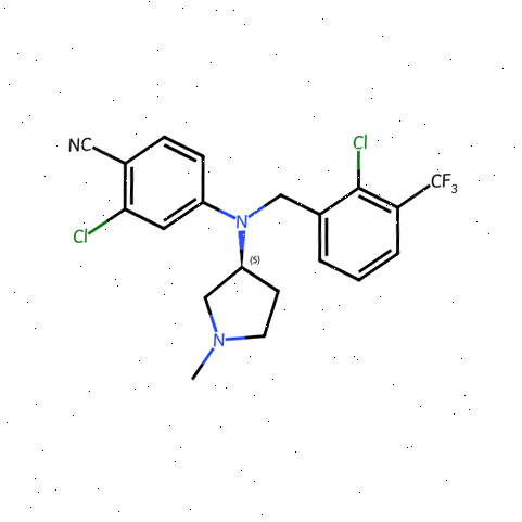 CN1CC[C@H](N(Cc2cccc(C(F)(F)F)c2Cl)c2ccc(C#N)c(Cl)c2)C1